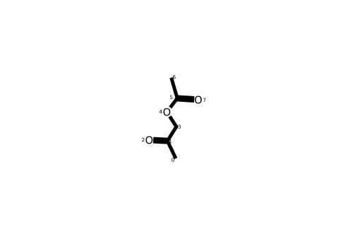 CC(=O)COC(C)=O